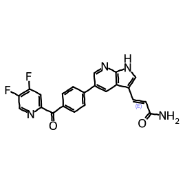 NC(=O)/C=C/c1c[nH]c2ncc(-c3ccc(C(=O)c4cc(F)c(F)cn4)cc3)cc12